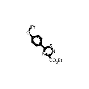 CCOC(=O)c1nsc(-c2ccc(OC(C)C)cc2)n1